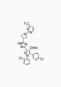 COc1c(-c2n[nH]c(C3CCN(c4nccc(C(F)(F)F)n4)C3)n2)nn(-c2ccccc2Cl)c1-c1ccc(Cl)cc1